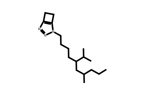 CCCC(C)CC(CCCCn1nnc2c1CC2)C(C)C